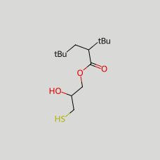 CC(C)(C)CC(C(=O)OCC(O)CS)C(C)(C)C